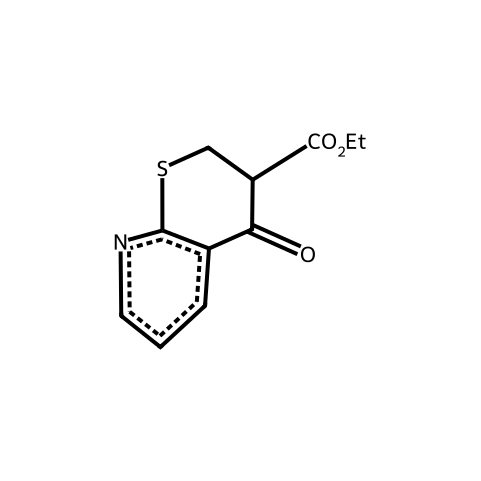 CCOC(=O)C1CSc2ncccc2C1=O